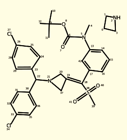 C1CNC1.CN(C(=O)OC(C)(C)C)c1cccc(C(=C2CN(C(c3ccc(Cl)cc3)c3ccc(Cl)cc3)C2)S(C)(=O)=O)c1